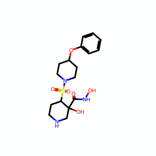 O=C(NO)C1(O)CNCCC1S(=O)(=O)N1CCC(Oc2ccccc2)CC1